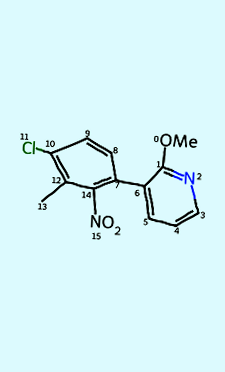 COc1ncccc1-c1ccc(Cl)c(C)c1[N+](=O)[O-]